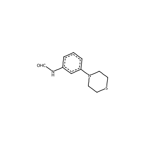 O=CNc1cccc(N2CCSCC2)c1